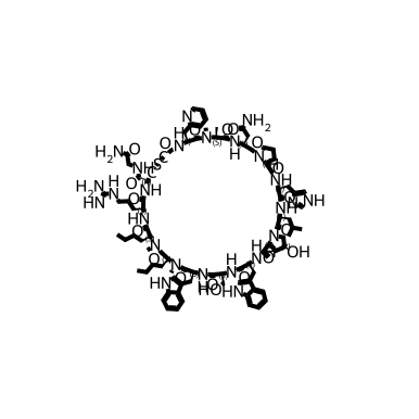 CCCC[C@H]1C(=O)N(C)[C@@H](CCCC)C(=O)N[C@@H](CCCNC(=N)N)C(=O)N[C@H](C(=O)NCC(N)=O)CSCC(=O)N[C@@H](Cc2ccccn2)C(=O)N(C)[C@@H](C)C(=O)N[C@@H](CC(N)=O)C(=O)N2CCC[C@H]2C(=O)N[C@@H](Cc2c[nH]cn2)C(=O)N[C@@H](CC(C)C)C(=O)N2C[C@H](O)C[C@H]2C(=O)N[C@@H](Cc2c[nH]c3ccccc23)C(=O)N[C@@H](CO)C(=O)N[C@@H](Cc2c[nH]c3ccccc23)C(=O)N1C